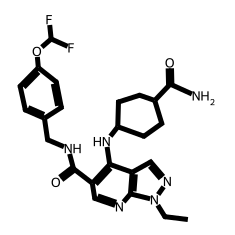 CCn1ncc2c(NC3CCC(C(N)=O)CC3)c(C(=O)NCc3ccc(OC(F)F)cc3)cnc21